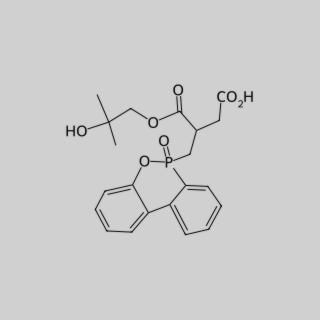 CC(C)(O)COC(=O)C(CC(=O)O)CP1(=O)Oc2ccccc2-c2ccccc21